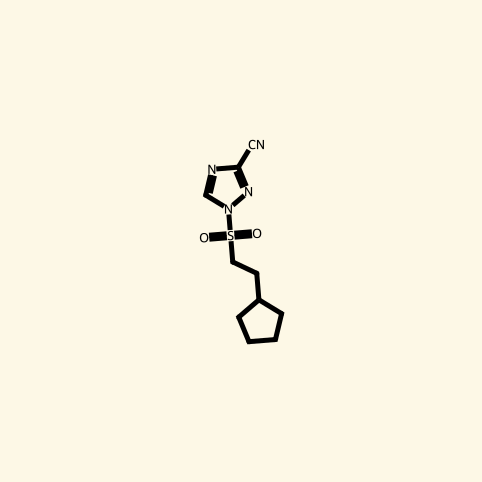 N#Cc1ncn(S(=O)(=O)CCC2CCCC2)n1